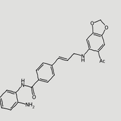 CC(=O)c1cc2c(cc1NCC=Cc1ccc(C(=O)Nc3ccccc3N)cc1)OCO2